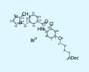 CCCCCCCCCCCCCCOc1ccc(NC(=O)c2cccc(C[n+]3ccsc3C)c2)c(Cl)c1.[Br-]